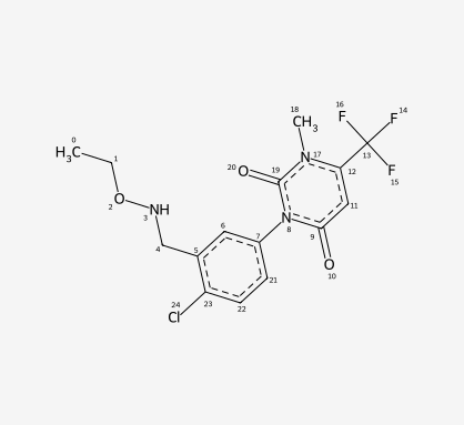 CCONCc1cc(-n2c(=O)cc(C(F)(F)F)n(C)c2=O)ccc1Cl